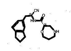 N#C[C@H](Cc1ccc2c(c1)CCC2)NC(=O)[C@@H]1CNCCCO1